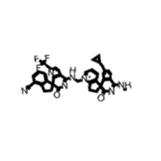 CNC1=NC(=O)C2(CCc3c2ccc[n+]3CNC2=NC(=O)C3(CCc4c(C#N)cccc43)c3nc(C(F)(F)F)ccc32)c2cc(C3CC3)ccc21